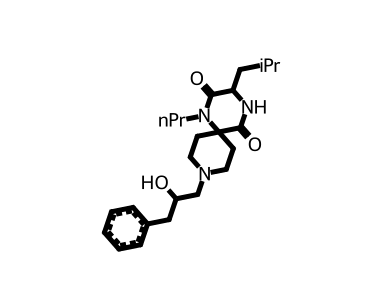 CCCN1C(=O)C(CC(C)C)NC(=O)C12CCN(CC(O)Cc1ccccc1)CC2